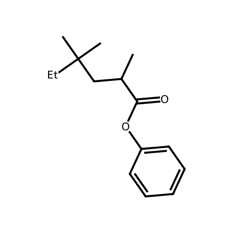 CCC(C)(C)CC(C)C(=O)Oc1ccccc1